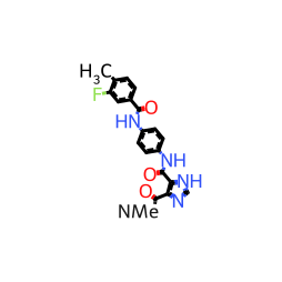 CNC(=O)c1nc[nH]c1C(=O)Nc1ccc(NC(=O)c2ccc(C)c(F)c2)cc1